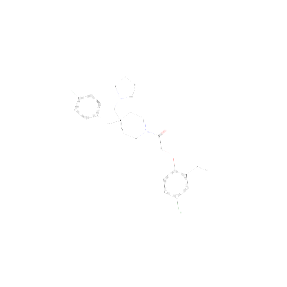 O=C(O)Cc1cc(Br)ccc1OCC(=O)N1CCC(Cc2ccc(F)cc2)(CN2CCCC2)CC1